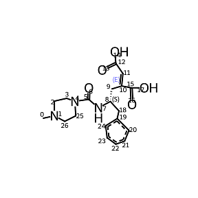 CN1CCN(C(=O)N[C@H](C/C(=C\C(=O)O)C(=O)O)Cc2ccccc2)CC1